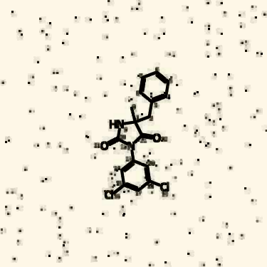 CC1(Cc2ccccc2)NC(=O)N(c2cc(Cl)cc(Cl)c2)C1=O